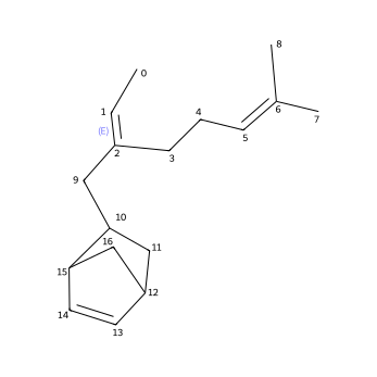 C/C=C(\CCC=C(C)C)CC1CC2C=CC1C2